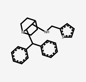 c1ccc(C(c2ccccc2)C2C(NCc3cccs3)C3CCN2CC3)cc1